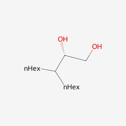 CCCCCCC(CCCCCC)[C@H](O)CO